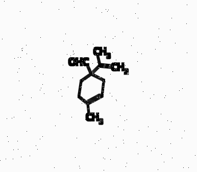 C=C(C)C1(C=O)CC=C(C)CC1